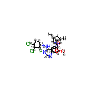 C=CC(=O)N1C[C@H]2C[C@@H](C1)[C@H]2Oc1cc2c(Nc3ccc(Cl)c(Cl)c3F)ncnc2cc1OC